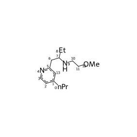 CCCc1ccnc(CC(CC)NCCOC)c1